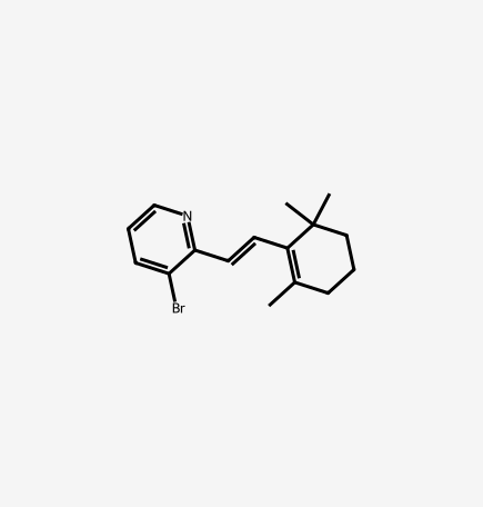 CC1=C(/C=C/c2ncccc2Br)C(C)(C)CCC1